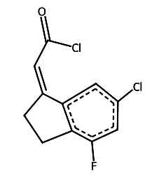 O=C(Cl)/C=C1/CCc2c(F)cc(Cl)cc21